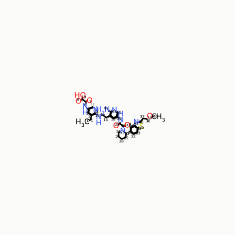 CCc1cc(NC(=O)C(=O)O)cnc1NCCc1cc(NC(=O)C(=O)N2CCCC[C@H]2c2ccc3sc(CCOC)nc3c2)cnc1N